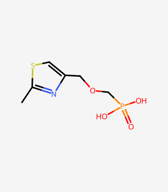 Cc1nc(COCP(=O)(O)O)cs1